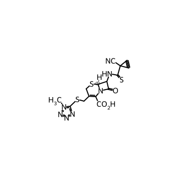 Cn1nnnc1SCC1=C(C(=O)O)N2C(=O)C(NC(=S)C3(C#N)C#C3)[C@@H]2SC1